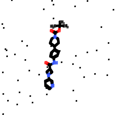 CC(C)(C)OC(=O)N1CCC(c2ccc(NC(=O)C3CN(c4cccnc4)C3)cc2)CC1